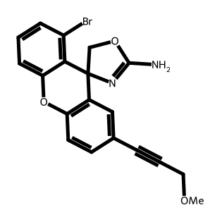 COCC#Cc1ccc2c(c1)C1(COC(N)=N1)c1c(Br)cccc1O2